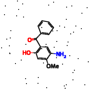 COc1cc(O)c(C(=O)c2ccccc2)cc1N